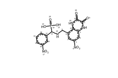 O=c1[nH]c2cc([N+](=O)[O-])cc(CNC(c3cccc([N+](=O)[O-])c3)P(=O)(O)O)c2[nH]c1=O